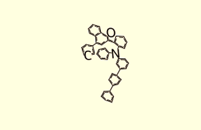 c1ccc(-c2ccc(-c3cccc(N(c4ccccc4)c4cccc5oc6c7ccccc7c(-c7ccccc7)cc6c45)c3)cc2)cc1